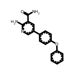 NC(=O)c1cc(-c2ccc(Oc3ccccc3)cc2)cnc1N